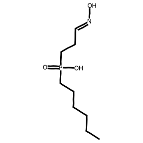 CCCCCCP(=O)(O)CCC=NO